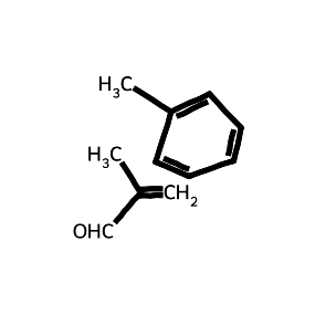 C=C(C)C=O.Cc1ccccc1